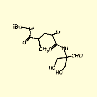 CCC(C)NC(=O)C(C)CC(CC)C(=O)NC(C=O)(CO)CO